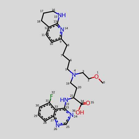 COCCN(CCCCc1ccc2c(n1)NCCC2)CCC(Nc1ncnc2cccc(F)c12)C(=O)O